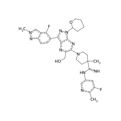 Cc1ncc(NC(=N)C2(C)CCN(c3nc4c(nc3CO)c(-c3ccc5nn(C)cc5c3F)nn4C3CCCCO3)CC2)cc1F